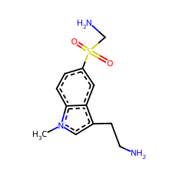 Cn1cc(CCN)c2cc(S(=O)(=O)CN)ccc21